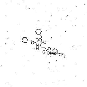 COP(=O)(CCC(NC(=O)OCc1ccccc1)C(=O)OCc1ccccc1)Oc1ccc(C(F)(F)F)cc1